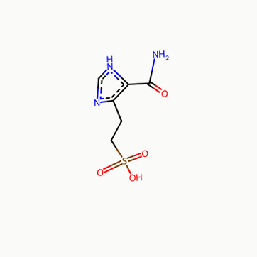 NC(=O)c1[nH]cnc1CCS(=O)(=O)O